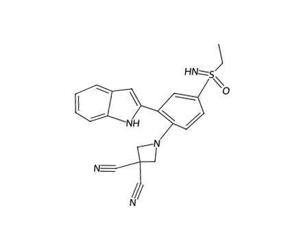 CCS(=N)(=O)c1ccc(N2CC(C#N)(C#N)C2)c(-c2cc3ccccc3[nH]2)c1